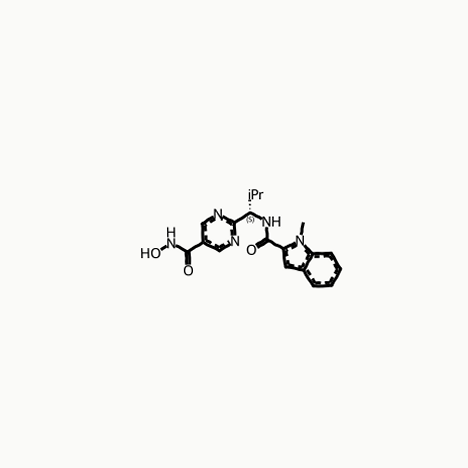 CC(C)[C@H](NC(=O)c1cc2ccccc2n1C)c1ncc(C(=O)NO)cn1